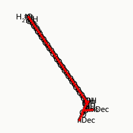 CCCCCCCCCCCCCCCC(=O)OCC[C@H](CSC[C@H](N)C(=O)N[C@@H](CO)C(=O)NCCOCCOCCOCCOCCOCCOCCOCCOCCOCCOCCOCCOCCOCCOCCOCCOCCOCCOCCOCCOCCOCCOCCOCCOCCOCCOCCOCCOCCC(=O)NCC(N)=O)OC(=O)CCCCCCCCCCCCCCC